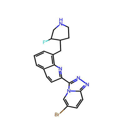 FC1CNCCC1Cc1cccc2ccc(-c3nnc4ccc(Br)cn34)nc12